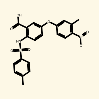 Cc1ccc(S(=O)(=O)Nc2ccc(Oc3ccc([N+](=O)[O-])c(C)c3)cc2C(=O)O)cc1